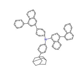 c1ccc(-c2cc(-c3ccc(N(c4ccc(C56CC7CC(CC(C7)C5)C6)cc4)c4ccc(-c5cccc6ccccc56)c5ccccc45)cc3)cc3ccccc23)cc1